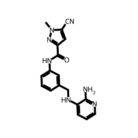 Cn1nc(C(=O)Nc2cccc(CNc3cccnc3N)c2)cc1C#N